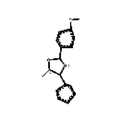 COc1ccc(C2NC(c3ccccc3)[C@H](C)O2)cc1